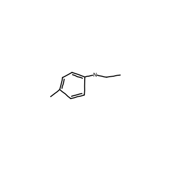 CC[N]c1ccc(C)cc1